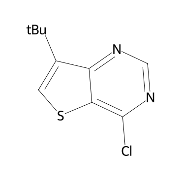 CC(C)(C)c1csc2c(Cl)ncnc12